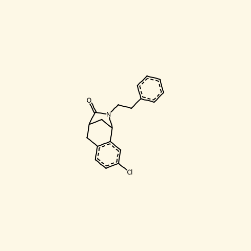 O=C1C2Cc3ccc(Cl)cc3C(C2)N1CCc1ccccc1